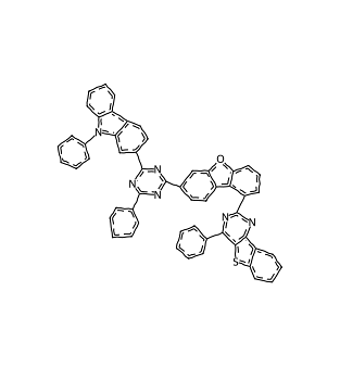 c1ccc(-c2nc(-c3ccc4c(c3)oc3cccc(-c5nc(-c6ccccc6)c6sc7ccccc7c6n5)c34)nc(-c3ccc4c5ccccc5n(-c5ccccc5)c4c3)n2)cc1